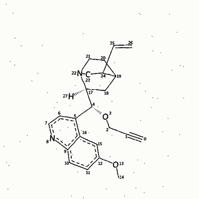 C#CCO[C@H](c1ccnc2ccc(OC)cc12)[C@@H]1CC2CCN1CC2C=C